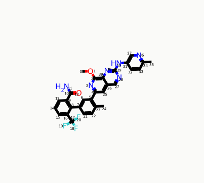 COc1nc(-c2cc(-c3c(C(N)=O)cccc3C(F)(F)F)ccc2C)cc2cnc(Nc3ccc(C)nc3)nc12